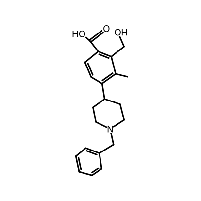 Cc1c(C2CCN(Cc3ccccc3)CC2)ccc(C(=O)O)c1CO